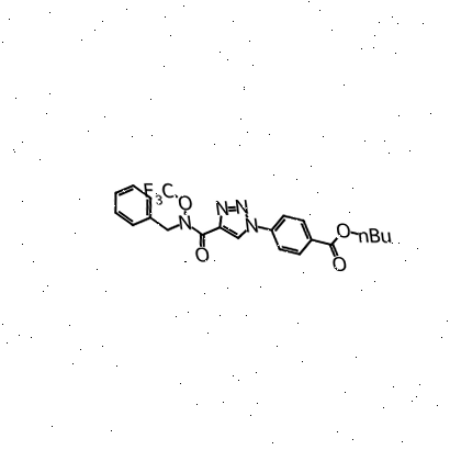 CCCCOC(=O)c1ccc(-n2cc(C(=O)N(Cc3ccccc3)OC(F)(F)F)nn2)cc1